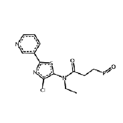 CCN(C(=O)CCP=O)c1sc(-c2cccnc2)nc1Cl